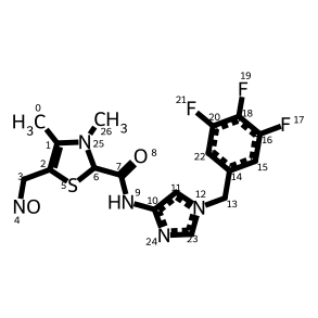 CC1=C(CN=O)SC(C(=O)Nc2cn(Cc3cc(F)c(F)c(F)c3)cn2)N1C